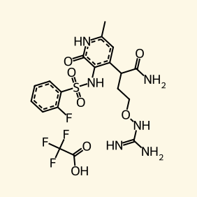 Cc1cc(C(CCONC(=N)N)C(N)=O)c(NS(=O)(=O)c2ccccc2F)c(=O)[nH]1.O=C(O)C(F)(F)F